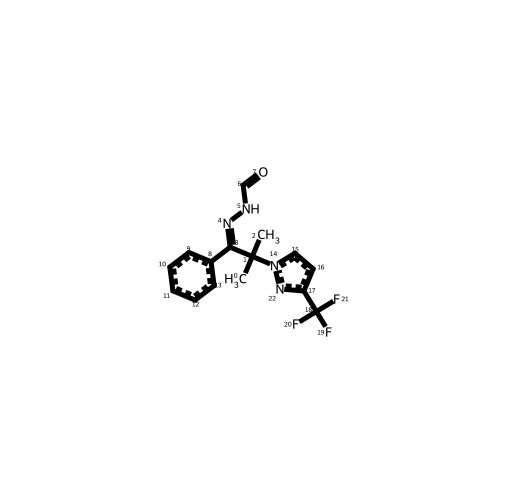 CC(C)(/C(=N\NC=O)c1ccccc1)n1ccc(C(F)(F)F)n1